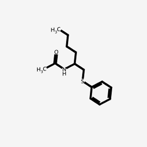 CCCCC(CSc1ccccc1)NC(C)=O